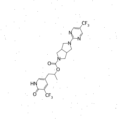 CC(Cc1c[nH]c(=O)c(C(F)(F)F)c1)OC(=O)N1CC2CN(c3ncc(C(F)(F)F)cn3)CC2C1